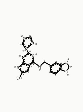 CCc1cc2c(NCc3ccc4c(c3)OCO4)nc(-n3cncn3)nc2s1